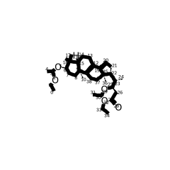 CCOC(C)O[C@H]1CC[C@]2(C)C3=C(CC[C@H]2C1(C)C)C1=CC[C@H]([C@H](C)[C@@H](CC=O)OC(C)OCC)[C@@]1(C)CC3